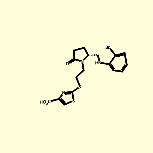 O=C(O)c1csc(SCCN2C(=O)CC[C@@H]2CNc2ccccc2Br)n1